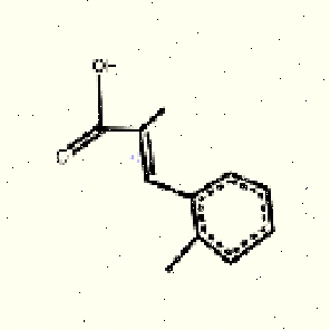 C/C(=C\c1ccccc1C)C(=O)O